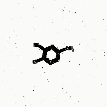 N#Cc1nc([AsH2])ccc1Cl